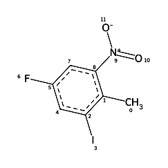 Cc1c(I)cc(F)cc1[N+](=O)[O-]